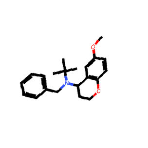 COc1ccc2c(c1)C(N(Cc1ccccc1)C(C)(C)C)CCO2